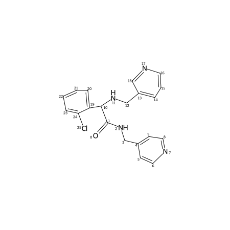 O=C(NCc1ccncc1)C(NCc1cccnc1)c1ccccc1Cl